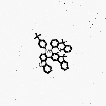 CC(C)(C)c1ccc(N2B3c4cccc5c4N(c4ccccc4C5(C)C)c4c3c(cc3c4C(C)(C)c4ccccc4-3)-c3c2ccc2oc4ccccc4c32)cc1